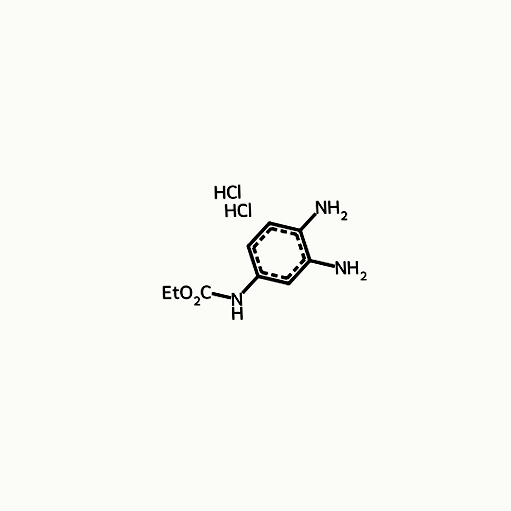 CCOC(=O)Nc1ccc(N)c(N)c1.Cl.Cl